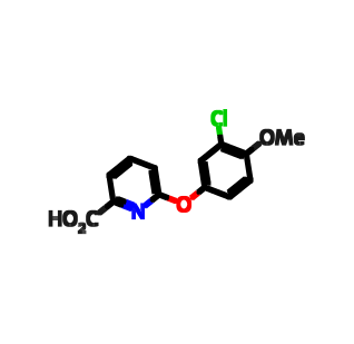 COc1ccc(Oc2cccc(C(=O)O)n2)cc1Cl